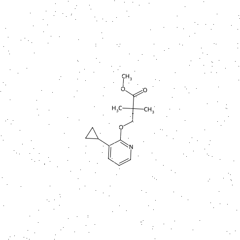 COC(=O)C(C)(C)COc1ncccc1C1CC1